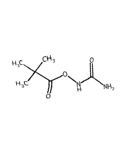 CC(C)(C)C(=O)ONC(N)=O